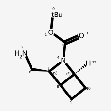 CC(C)(C)OC(=O)N1[C@H](CN)C2CC[C@@H]21